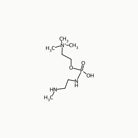 CNCCNP(=O)(O)OCC[N+](C)(C)C